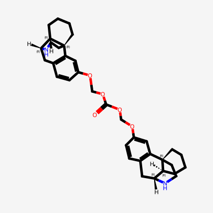 O=C(OCOc1ccc2c(c1)[C@@]13CCCC[C@H]1[C@@H](C2)NCC3)OCOc1ccc2c(c1)[C@@]13CCCC[C@H]1[C@@H](C2)NCC3